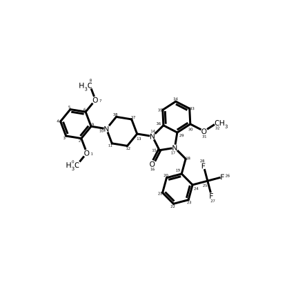 COc1cccc(OC)c1N1CCC(n2c(=O)n(Cc3ccccc3C(F)(F)F)c3c(OC)cccc32)CC1